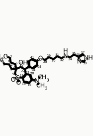 CCCCC1(CCCC)CS(=O)(=O)c2ccc(N(C)C)cc2C(c2ccc(OCCCCCNCCc3c[nH]cn3)cc2)[C@H]1O